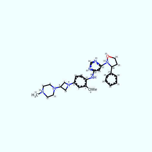 COc1cc(N2CC(N3CCN(C)CC3)C2)ccc1Nc1cc(N2OCCC2c2ccccc2)ncn1